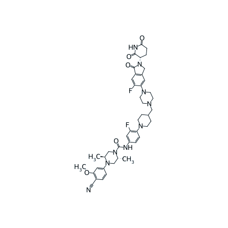 COc1cc(N2C[C@@H](C)N(C(=O)Nc3ccc(N4CCC(CN5CCN(c6cc7c(cc6F)C(=O)N([C@H]6CCC(=O)NC6=O)C7)CC5)CC4)c(F)c3)C[C@@H]2C)ccc1C#N